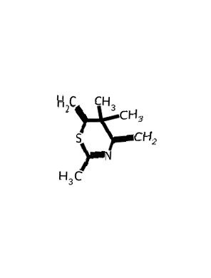 C=C1N=C(C)SC(=C)C1(C)C